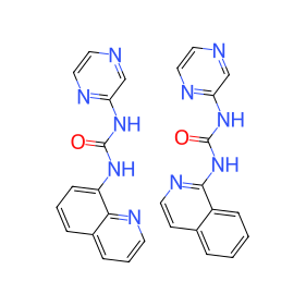 O=C(Nc1cnccn1)Nc1cccc2cccnc12.O=C(Nc1cnccn1)Nc1nccc2ccccc12